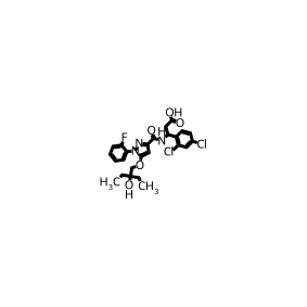 CCC(O)(CC)COc1cc(C(=O)NC(CC(=O)O)c2ccc(Cl)cc2Cl)nn1-c1ccccc1F